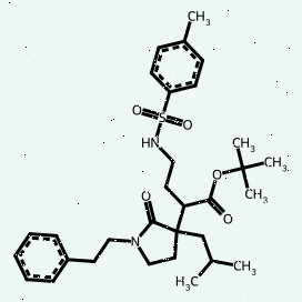 Cc1ccc(S(=O)(=O)NCCC(C(=O)OC(C)(C)C)C2(CC(C)C)CCN(CCc3ccccc3)C2=O)cc1